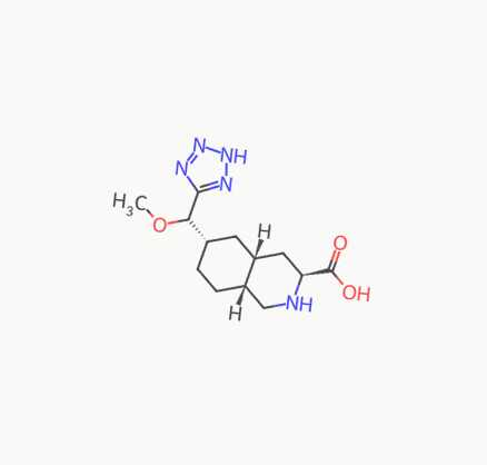 COC(c1nn[nH]n1)[C@H]1CC[C@H]2CN[C@H](C(=O)O)C[C@H]2C1